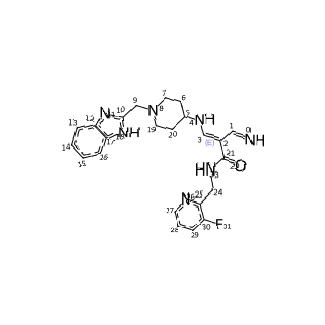 N=C/C(=C\NC1CCN(Cc2nc3ccccc3[nH]2)CC1)C(=O)NCc1ncccc1F